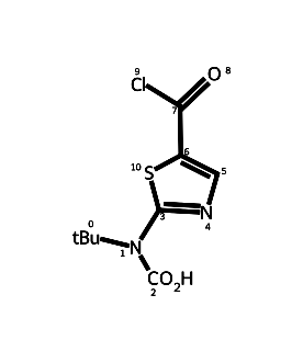 CC(C)(C)N(C(=O)O)c1ncc(C(=O)Cl)s1